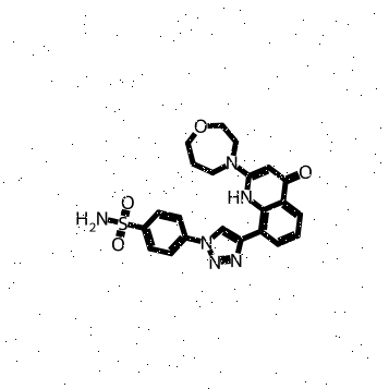 NS(=O)(=O)c1ccc(-n2cc(-c3cccc4c(=O)cc(N5CCCOCC5)[nH]c34)nn2)cc1